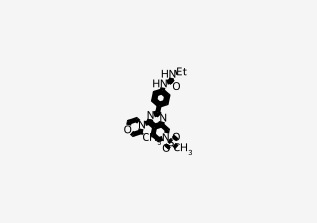 CCNC(=O)Nc1ccc(-c2nc3c(c(N4CCOC[C@@H]4C)n2)CCN(S(C)(=O)=O)C3)cc1